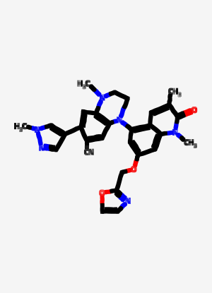 Cc1cc2c(N3CCN(C)c4cc(-c5cnn(C)c5)c(C#N)cc43)cc(OCc3ncco3)cc2n(C)c1=O